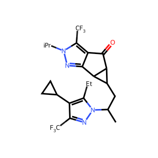 CCc1c(C2CC2)c(C(F)(F)F)nn1C(C)CC1C2C(=O)c3c(nn(C(C)C)c3C(F)(F)F)C12